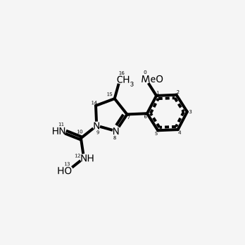 COc1ccccc1C1=NN(C(=N)NO)CC1C